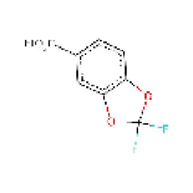 CCOC(=O)c1ccc2c(c1)OC(F)(F)O2